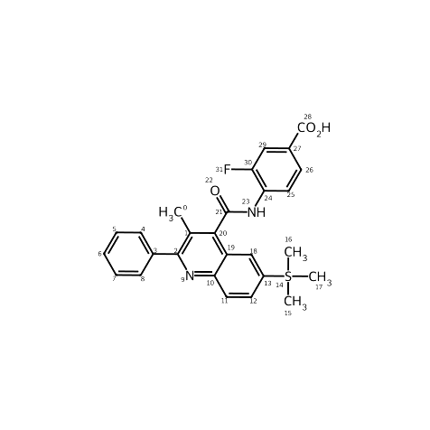 Cc1c(-c2ccccc2)nc2ccc(S(C)(C)C)cc2c1C(=O)Nc1ccc(C(=O)O)cc1F